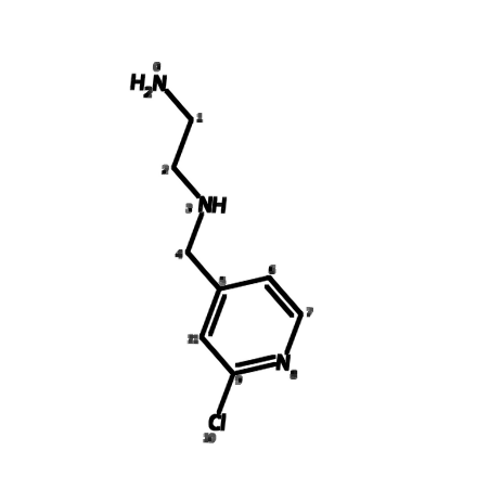 NCCNCc1ccnc(Cl)c1